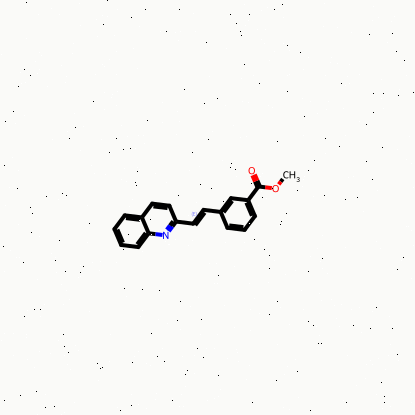 COC(=O)c1cccc(/C=C/c2ccc3ccccc3n2)c1